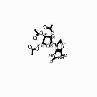 CC(=O)OC[C@H]1O[C@@H](n2cnc3c(=O)[nH]c(=O)[nH]c32)[C@H](OC(C)=O)[C@@H]1OC(C)=O